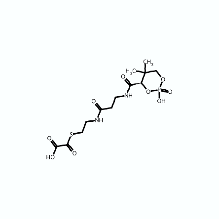 CC1(C)COP(=O)(O)O[C@H]1C(=O)NCCC(=O)NCCSC(=O)C(=O)O